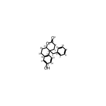 O=C1CCC2(Cc3ccccc3)c3ccc(O)cc3CCC2O1